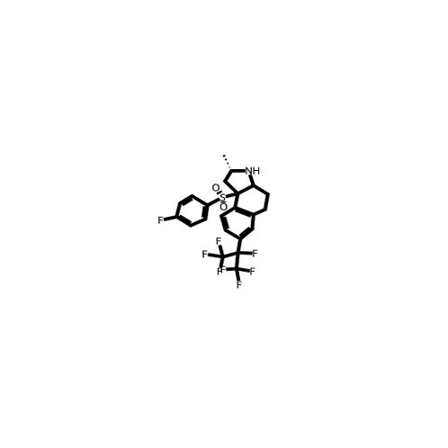 C[C@H]1CC2(S(=O)(=O)c3ccc(F)cc3)c3ccc(C(F)(C(F)(F)F)C(F)(F)F)cc3CCC2N1